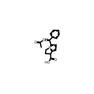 CC(=O)O.O=C(c1ccccc1)c1ccc2n1CCC2C(=O)O